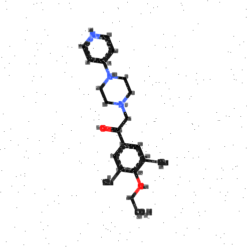 CC(C)(C)c1cc(C(=O)CN2CCN(c3ccncc3)CC2)cc(C(C)(C)C)c1OCC(=O)O